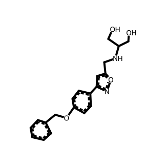 OCC(CO)NCc1cc(-c2ccc(OCc3ccccc3)cc2)no1